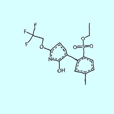 CCOS(=O)(=O)c1ccc(C)cc1-c1ccc(OCC(F)(F)F)nc1O